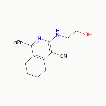 CCCc1nc(NCCO)c(C#N)c2c1CCCC2